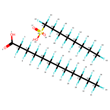 O=C(O)C(F)(F)C(F)(F)C(F)(F)C(F)(F)C(F)(F)C(F)(F)C(F)(F)C(F)(F)C(F)(F)C(F)(F)C(F)(F)F.O=S(=O)(O)C(F)(F)C(F)(F)C(F)(F)C(F)(F)C(F)(F)C(F)(F)C(F)(F)C(F)(F)F